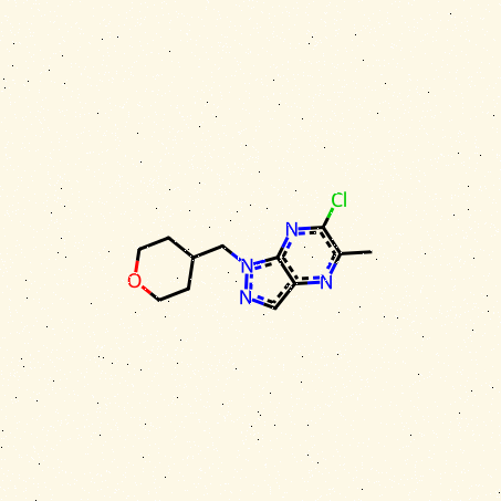 Cc1nc2cnn(CC3CCOCC3)c2nc1Cl